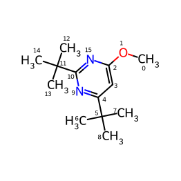 COc1cc(C(C)(C)C)nc(C(C)(C)C)n1